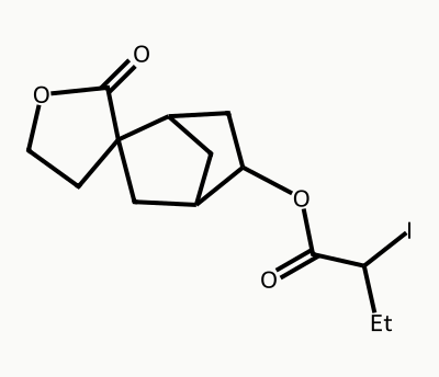 CCC(I)C(=O)OC1CC2CC1CC21CCOC1=O